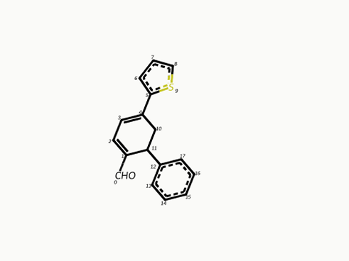 O=CC1=CC=C(c2cccs2)CC1c1ccccc1